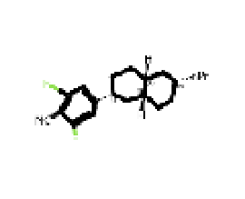 CCC[C@@H]1CC[C@@H]2C[C@H](c3cc(F)c(C#N)c(F)c3)CC[C@@H]2C1